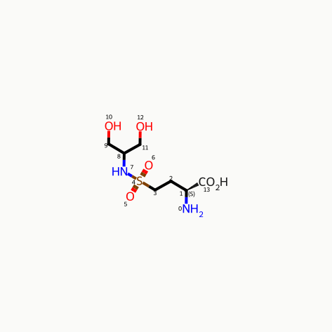 N[C@@H](CCS(=O)(=O)NC(CO)CO)C(=O)O